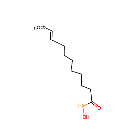 CCCCCCCCC=CCCCCCCCC(=O)PO